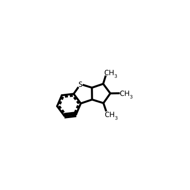 CC1C(C)C2Sc3ccc#cc3C2C1C